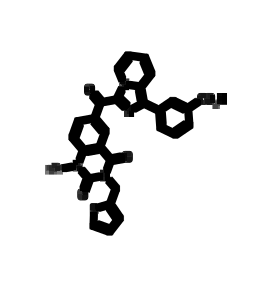 CCCn1c(=O)n(Cc2cccs2)c(=O)c2cc(C(=O)c3nc(-c4cccc(C(=O)O)c4)c4ccccn34)ccc21